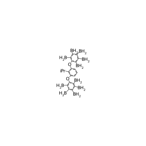 Bc1c(B)c(B)c(Oc2cccc(Oc3c(B)c(B)c(B)c(B)c3B)c2C(C)C)c(B)c1B